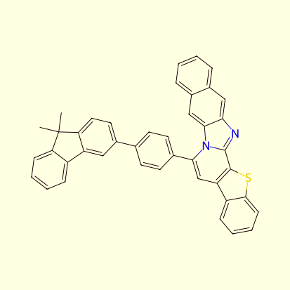 CC1(C)c2ccccc2-c2cc(-c3ccc(-c4cc5c6ccccc6sc5c5nc6cc7ccccc7cc6n45)cc3)ccc21